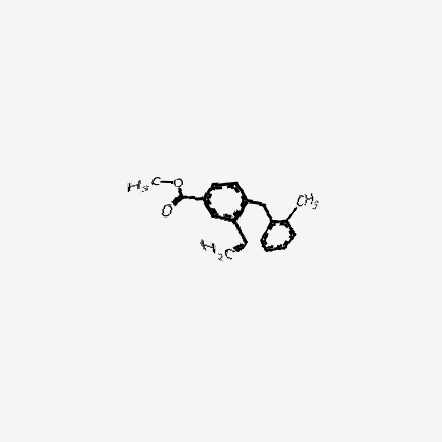 C=Cc1cc(C(=O)OC)ccc1Cc1ccccc1C